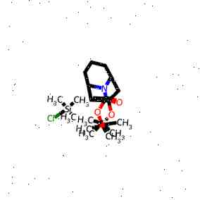 CC(C)(C)OC(=O)N1C2C=C(O[Si](C)(C)C)CC1CCC2.C[Si](C)(C)Cl